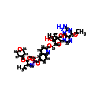 COc1nc(N)nc2c1ncn2C1O[C@H](COc2ccc3cc(O/[P+]([O-])=N/[C@@H](C)C(=O)OC4CCOCC4)ccc3n2)[C@@H](O)[C@@]1(C)O